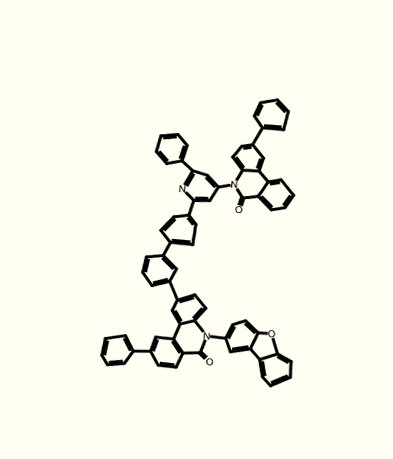 O=c1c2ccccc2c2cc(-c3ccccc3)ccc2n1-c1cc(-c2ccccc2)nc(-c2ccc(-c3cccc(-c4ccc5c(c4)c4cc(-c6ccccc6)ccc4c(=O)n5-c4ccc5oc6ccccc6c5c4)c3)cc2)c1